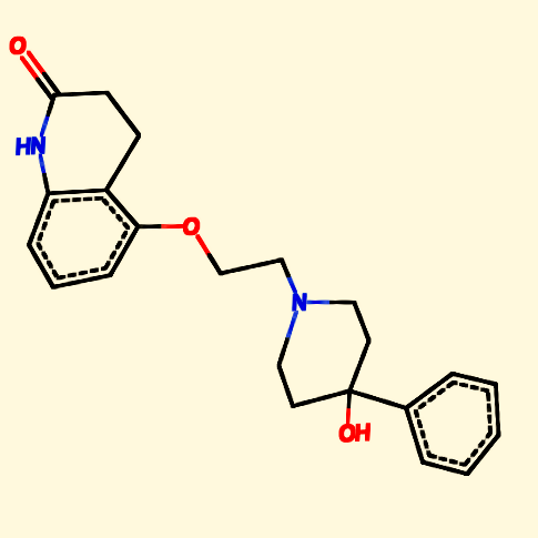 O=C1CCc2c(cccc2OCCN2CCC(O)(c3ccccc3)CC2)N1